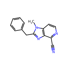 Cn1c(Cc2ccccc2)nc2c(C#N)nccc21